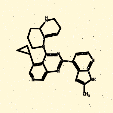 Cc1cc2c(-c3nc(N4CCCC5NCCC=C54)c4c(C5CC5)cncc4n3)ccnc2[nH]1